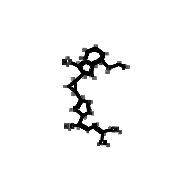 CC(C)=N/C=C(/C)C1N=NC(C2CC2c2nc3c(OCF)cccn3c2C)=N1